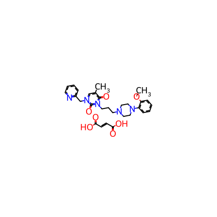 COc1ccccc1N1CCN(CCCn2c(=O)c(C)cn(Cc3ccccn3)c2=O)CC1.O=C(O)C=CC(=O)O